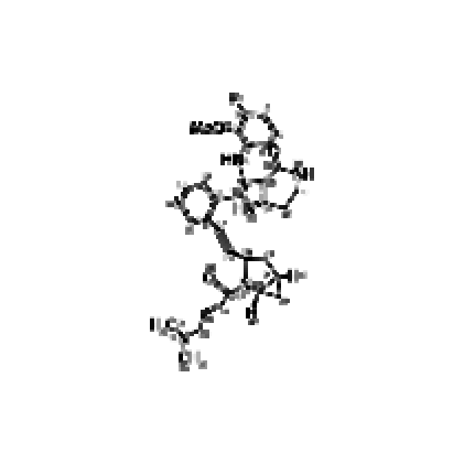 COc1c(F)cccc1Nc1c(-c2ccncc2C#C[C@H]2C[C@@H]3C[C@@H]3N2C(=O)/C=C/CN(C)C)[nH]c2c1C(=O)NCC2